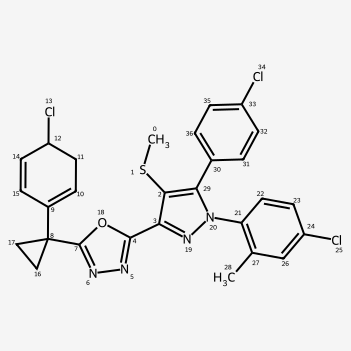 CSc1c(-c2nnc(C3(C4=CCC(Cl)C=C4)CC3)o2)nn(-c2ccc(Cl)cc2C)c1-c1ccc(Cl)cc1